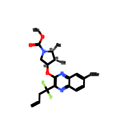 C=CCC(F)(F)c1nc2ccc(OC)cc2nc1O[C@H]1CN(C(=O)OC(C)(C)C)[C@H](C(C)=O)[C@@H]1CC